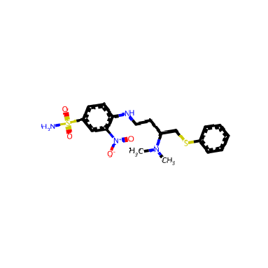 CN(C)C(CCNc1ccc(S(N)(=O)=O)cc1[N+](=O)[O-])CSc1ccccc1